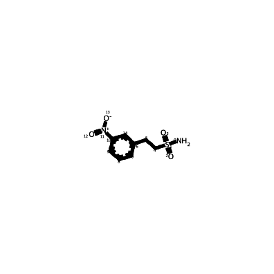 NS(=O)(=O)CCc1cccc([N+](=O)[O-])c1